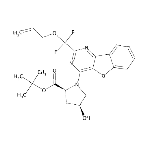 C=CCOC(F)(F)c1nc(N2C[C@@H](O)C[C@H]2C(=O)OC(C)(C)C)c2oc3ccccc3c2n1